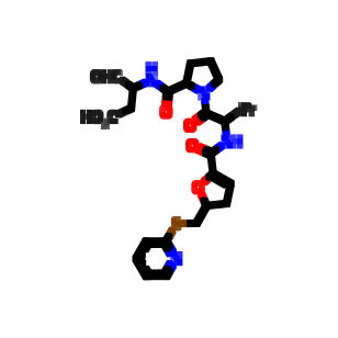 CC(C)C(NC(=O)C1=CCC(CSc2ccccn2)O1)C(=O)N1CCCC1C(=O)NC(C=O)CC(=O)O